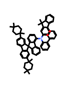 CC1(C)CCC(C)(c2ccc3c(c2)C2(c4cc(C5(C)CCC(C)(C)CC5)ccc4-3)c3ccccc3-c3c(N(c4ccc5c(c4)C(C)(C)c4ccccc4-5)c4ccccc4-c4ccccc4)cccc32)CC1